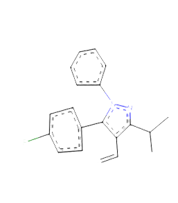 [CH]=Cc1c(C(C)C)nn(-c2ccccc2)c1-c1ccc(F)cc1